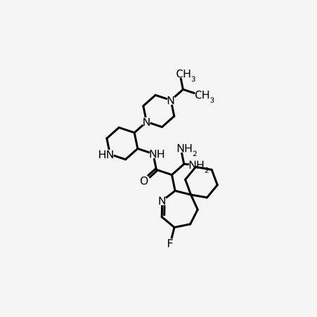 CC(C)N1CCN(C2CCNCC2NC(=O)C(C(N)N)C2N=CC(F)CCC23CCCCC3)CC1